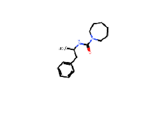 O=C(O)C(Cc1ccccc1)NC(=O)N1CCCCCC1